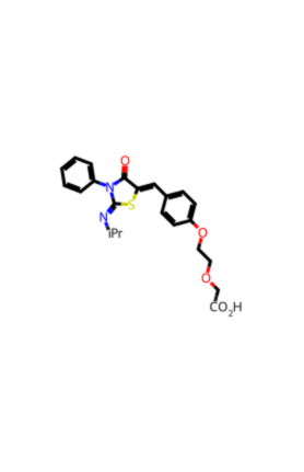 CC(C)/N=C1\S/C(=C\c2ccc(OCCOCC(=O)O)cc2)C(=O)N1c1ccccc1